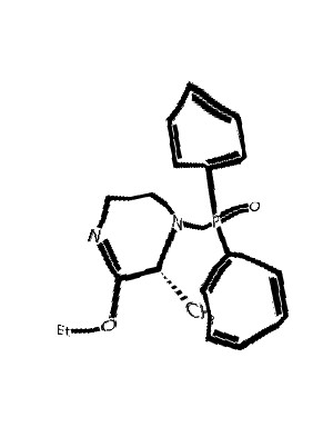 CCOC1=NCCN(P(=O)(c2ccccc2)c2ccccc2)[C@@H]1C